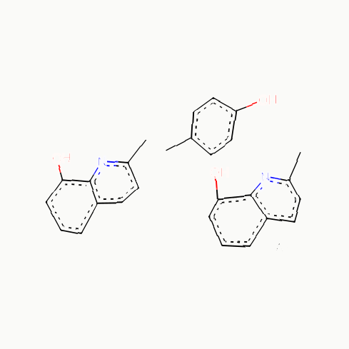 Cc1ccc(O)cc1.Cc1ccc2cccc(O)c2n1.Cc1ccc2cccc(O)c2n1.[Al]